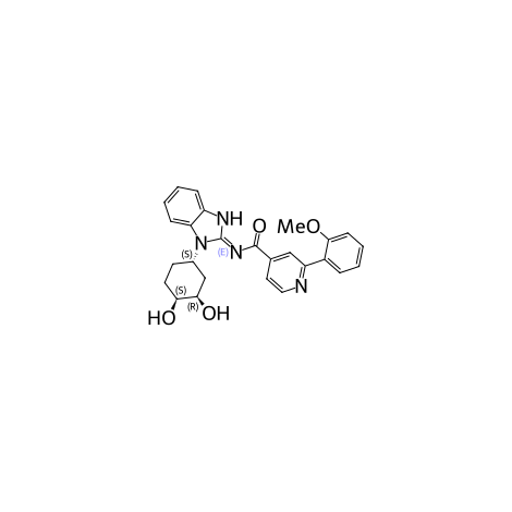 COc1ccccc1-c1cc(C(=O)/N=c2\[nH]c3ccccc3n2[C@H]2CC[C@H](O)[C@H](O)C2)ccn1